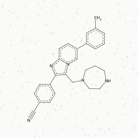 Cc1cccc(-c2ccc3nc(-c4ccc(C#N)cc4)c(CN4CCCNCC4)n3c2)c1